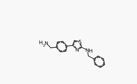 NCc1ccc(-c2csc(NCc3ccccc3)n2)cc1